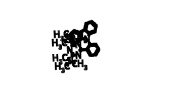 C[Si](C)(C)c1nc(-c2ccccc2-n2c3ccccc3c3ccccc32)nc([Si](C)(C)C)n1